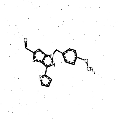 COc1ccc(Cn2nc(-c3cccs3)c3sc(C=O)cc32)cc1